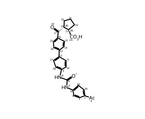 CC(=O)c1ccc(NC(=O)Nc2ccc(-c3ccc(C(=O)[C@@H]4CCC[C@H]4C(=O)O)cc3)cc2)cc1